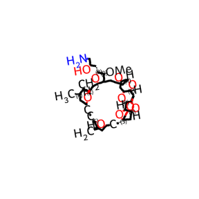 C=C1CC2CC[C@@]34C[C@H]5OC6C(O3)[C@H]3O[C@H](CCC3O[C@H]6C5O4)CC(=O)CC3C(C[C@H]4OC(CC[C@@H]1O2)C[C@@H](C)C4=C)O[C@H](CC(O)CN)[C@@H]3OC